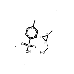 C[C@@H]1O[C@H]1CO.Cc1ccc(S(=O)(=O)O)cc1